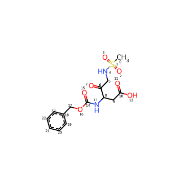 CS(=O)(=O)NCC(=O)C(CC(=O)O)NC(=O)OCc1ccccc1